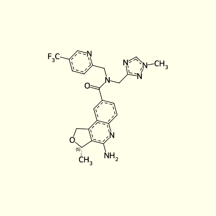 C[C@@H]1OCc2c1c(N)nc1ccc(C(=O)N(Cc3ccc(C(F)(F)F)cn3)Cc3ncn(C)n3)cc21